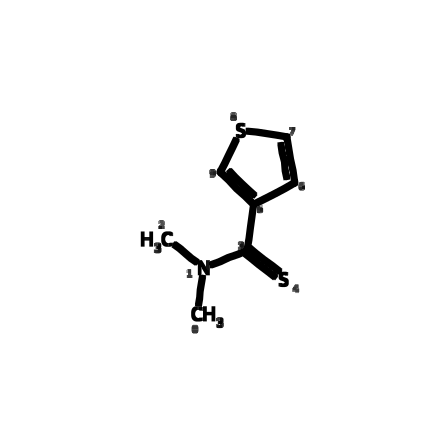 CN(C)C(=S)c1ccsc1